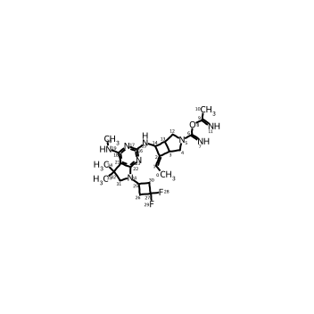 C/C=C1\C2CN(C(=N)OC(C)=N)CC2C1Nc1nc(NC)c2c(n1)N(C1CC(F)(F)C1)CC2(C)C